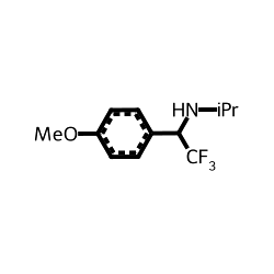 COc1ccc(C(NC(C)C)C(F)(F)F)cc1